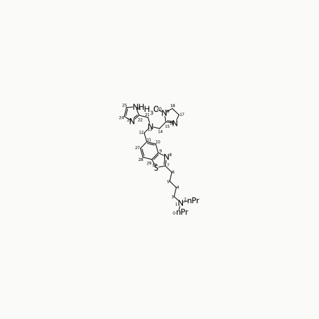 CCCN(CCC)CCCCc1nc2cc(CN(CC3=NCCN3C)Cc3ncc[nH]3)ccc2s1